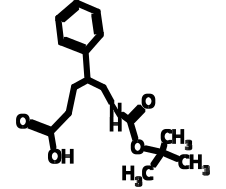 CC(C)(C)OC(=O)NCC(CCC(=O)O)c1ccccc1